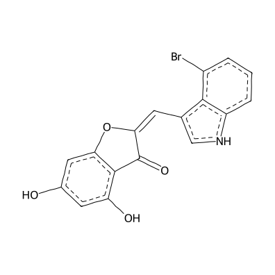 O=C1C(=Cc2c[nH]c3cccc(Br)c23)Oc2cc(O)cc(O)c21